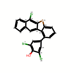 Oc1c(Br)cc(-c2cccc3sc4c(Br)c5ccccc5cc4c23)cc1Br